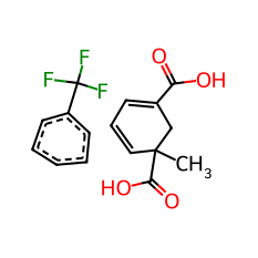 CC1(C(=O)O)C=CC=C(C(=O)O)C1.FC(F)(F)c1ccccc1